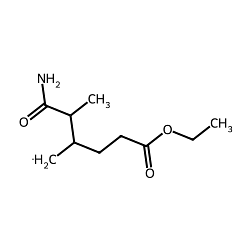 [CH2]C(CCC(=O)OCC)C(C)C(N)=O